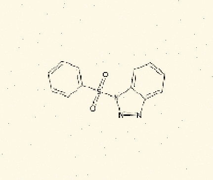 O=S(=O)(c1ccccc1)n1nnc2ccccc21